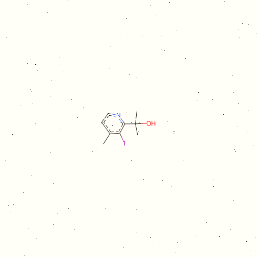 Cc1ccnc(C(C)(C)O)c1I